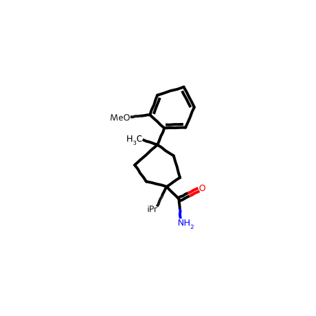 COc1ccccc1C1(C)CCC(C(N)=O)(C(C)C)CC1